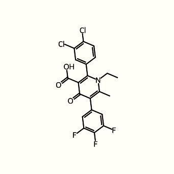 CCn1c(C)c(-c2cc(F)c(F)c(F)c2)c(=O)c(C(=O)O)c1-c1ccc(Cl)c(Cl)c1